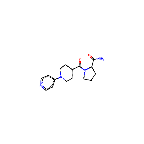 NC(=O)C1CCCN1C(=O)C1CCN(c2ccncc2)CC1